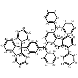 C1=CCCC(N(c2ccccc2)c2ccc(N(c3ccccc3)c3ccc(C4(C5C=CC=CC5)c5ccccc5-c5ccccc54)cc3)c3oc4c(-c5ccccc5)cccc4c23)=C1